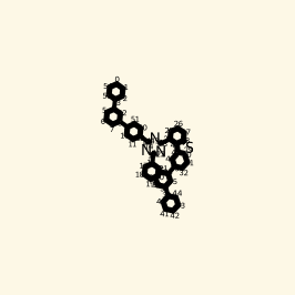 c1ccc(-c2cccc(-c3ccc(-c4nc(-c5ccccc5)nc(-c5cccc6sc7ccc(-c8cccc(-c9ccccc9)c8)cc7c56)n4)cc3)c2)cc1